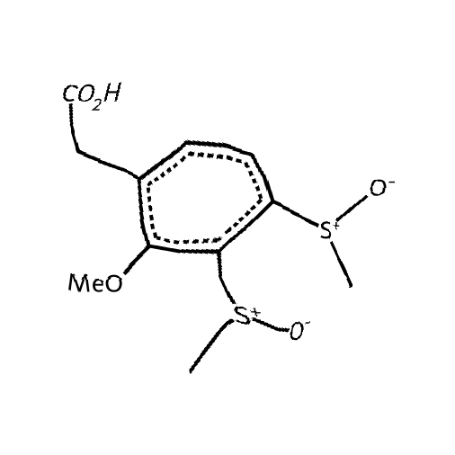 COc1c(CC(=O)O)ccc([S+](C)[O-])c1[S+](C)[O-]